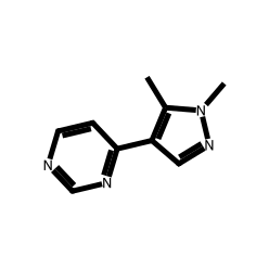 Cc1c(-c2ccncn2)cnn1C